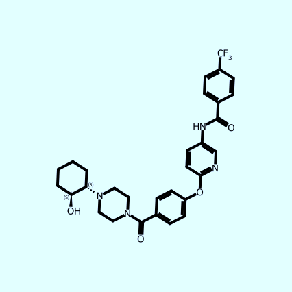 O=C(Nc1ccc(Oc2ccc(C(=O)N3CCN([C@H]4CCCC[C@@H]4O)CC3)cc2)nc1)c1ccc(C(F)(F)F)cc1